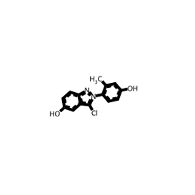 Cc1cc(O)ccc1-n1nc2ccc(O)cc2c1Cl